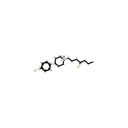 CCCC(F)CCC[Si@H]1CC[C@H](c2ccc(F)cc2)CC1